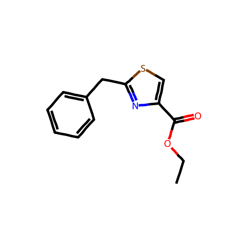 CCOC(=O)c1csc(Cc2ccccc2)n1